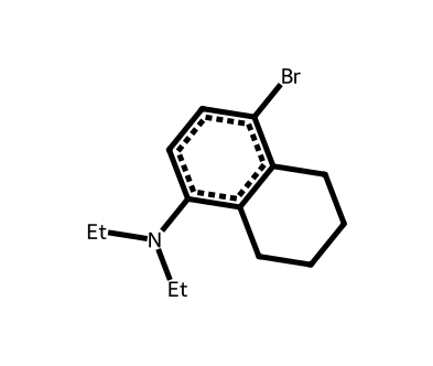 CCN(CC)c1ccc(Br)c2c1CCCC2